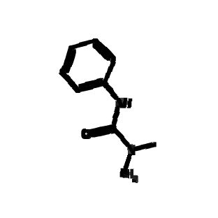 BN(C)C(=O)Nc1ccccc1